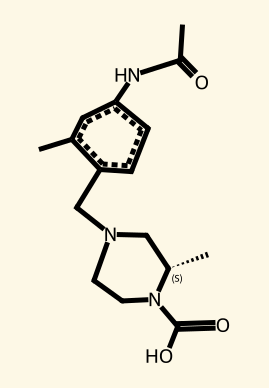 CC(=O)Nc1ccc(CN2CCN(C(=O)O)[C@@H](C)C2)c(C)c1